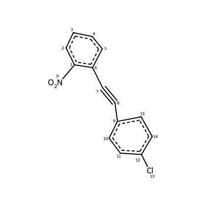 O=[N+]([O-])c1ccccc1C#Cc1ccc(Cl)cc1